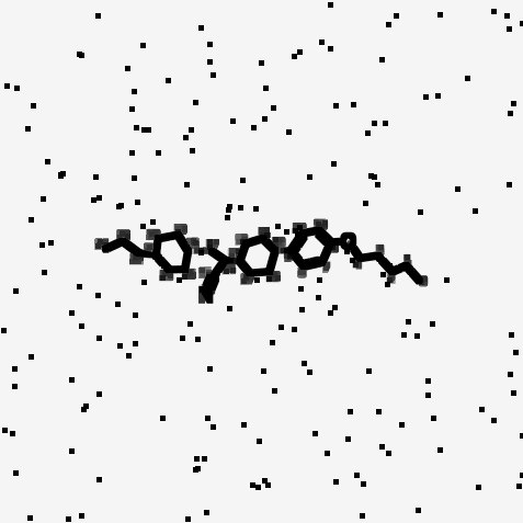 CCCCCOc1ccc([C@H]2CC[C@H](C(C#N)C[C@H]3CC[C@H](CCC)CC3)CC2)cc1